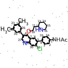 CC(=O)Nc1ccc(-c2cc3c(OCCC4CCCCN4)c(-c4cc(C)cc(C)c4)cnc3cc2Cl)cc1